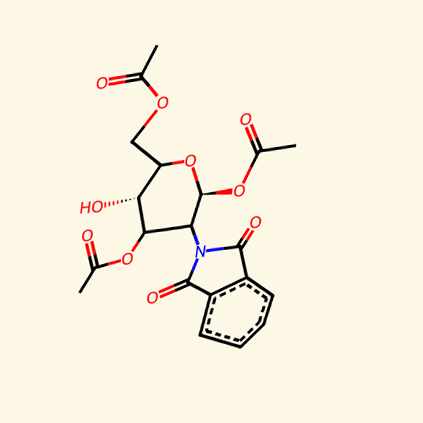 CC(=O)OCC1O[C@@H](OC(C)=O)C(N2C(=O)c3ccccc3C2=O)C(OC(C)=O)[C@@H]1O